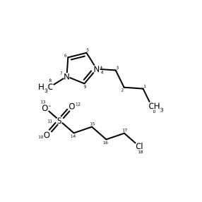 CCCC[n+]1ccn(C)c1.O=S(=O)([O-])CCCCCl